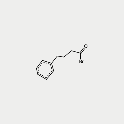 O=C(Br)CCCc1ccccc1